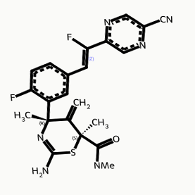 C=C1[C@@](C)(C(=O)NC)SC(N)=N[C@]1(C)c1cc(/C=C(\F)c2cnc(C#N)cn2)ccc1F